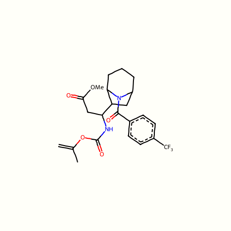 C=C(C)OC(=O)NC(CC(=O)OC)C1CC2CCCC1N2C(=O)c1ccc(C(F)(F)F)cc1